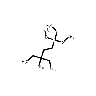 CCC(N)(CC)CC[Si](OC)(OC)OC